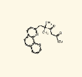 CC(C)(C)C(=O)CC(=O)C(C)(C)Cc1ccc2ccc3cccnc3c2n1